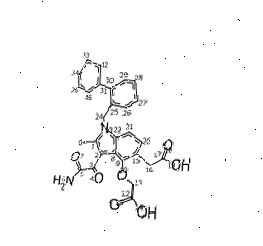 Cc1c(C(=O)C(N)=O)c2c(OCC(=O)O)c(CC(=O)O)ccc2n1Cc1ccccc1-c1ccccc1